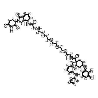 O=C1CCC(N2Cc3c(NC(=O)CNCCOCCOCCOCCOCCNC(=O)[C@]4(Cc5cccc(Nc6nccs6)n5)CC[C@@H](Oc5cccc(Cl)c5F)CC4)cccc3C2=O)C(=O)N1